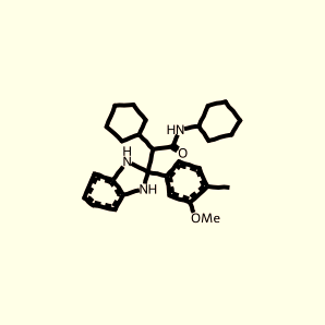 COc1cc(C2(C(C(=O)NC3CCCCC3)C3CCCCC3)Nc3ccccc3N2)ccc1C